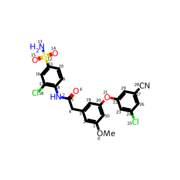 COc1cc(CC(=O)Nc2ccc(S(N)(=O)=O)cc2Cl)cc(Oc2cc(Cl)cc(C#N)c2)c1